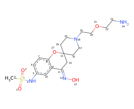 CS(=O)(=O)Nc1ccc2c(c1)/C(=N/O)CC1(CCN(CCOCCN)CC1)O2